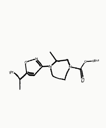 CC(C)C(C)c1cc(N2CCN(C(=O)OC(C)(C)C)CC2C)no1